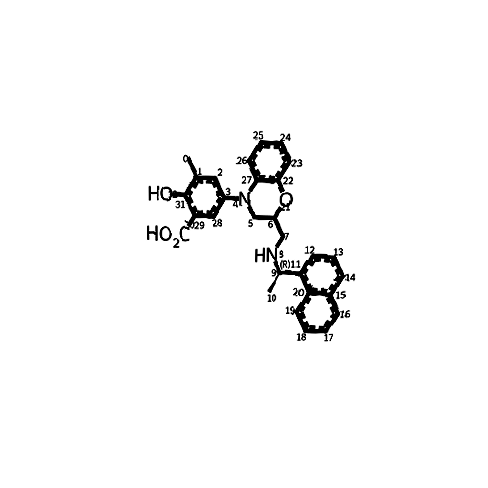 Cc1cc(N2CC(CN[C@H](C)c3cccc4ccccc34)Oc3ccccc32)cc(C(=O)O)c1O